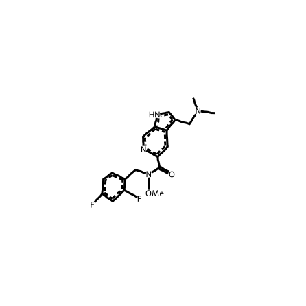 CON(Cc1ccc(F)cc1F)C(=O)c1cc2c(CN(C)C)c[nH]c2cn1